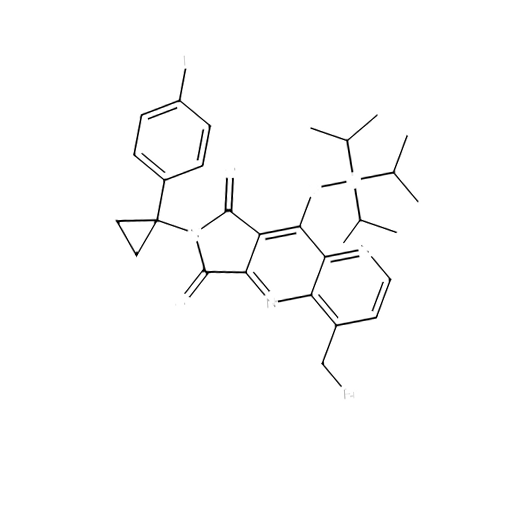 CC(C)[Si](Oc1c2c(nc3c(CBr)ccnc13)C(=O)N(C1(c3ccc(F)cc3)CC1)C2=O)(C(C)C)C(C)C